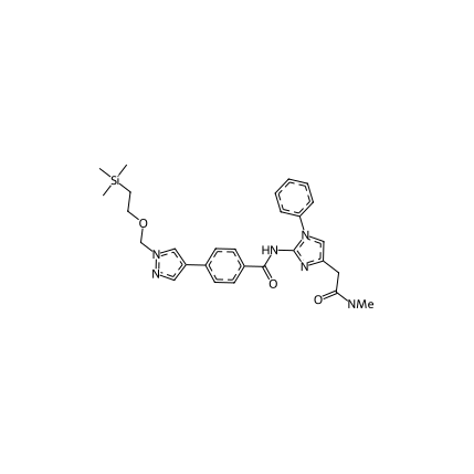 CNC(=O)Cc1cn(-c2ccccc2)c(NC(=O)c2ccc(-c3cnn(COCC[Si](C)(C)C)c3)cc2)n1